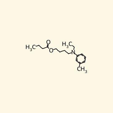 CCCC(=O)OCCCCN(CC)c1cccc(C)c1